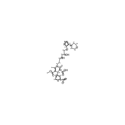 COC(=O)C1=C(C)N(CCCNCC(O)COc2nsnc2N2CCOCC2)C(C)=C(C(=O)O)C1c1cccc([N+](=O)[O-])c1